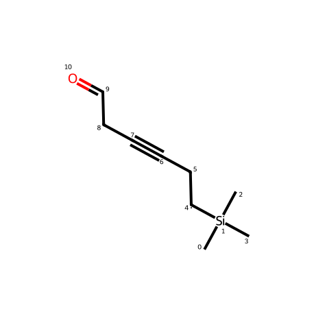 C[Si](C)(C)[CH]CC#CCC=O